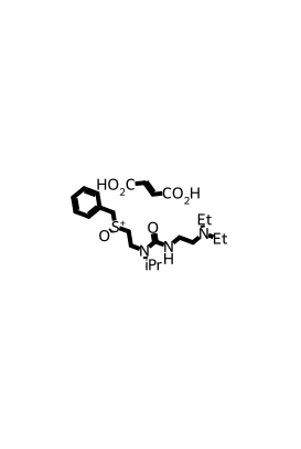 CCN(CC)CCNC(=O)N(CC[S+]([O-])Cc1ccccc1)C(C)C.O=C(O)C=CC(=O)O